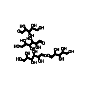 O=CC(O)C(O)C(O)C(O)CO.O=CC(O)C(O)C(O)C(O)CO.O=CC(O)C(O)C(O)CO.O=CC(O)C(O)C(O)CO